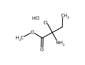 CCC(N)(Cl)C(=O)OC.Cl